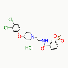 CS(=O)(=O)c1cccc(C(=O)NCCN2CCC(Oc3ccc(Cl)c(Cl)c3)CC2)c1.Cl